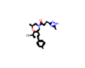 C=C(N=O)C1=C(/C=C/c2ccc(C)cc2)CN(C(=O)CCc2n[nH]c(C)n2)CC(C)O1